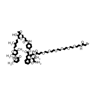 CC(/C=C/[C@H]1O[C@H](CC(=O)NC2CCC(OC(=O)CCc3ccccc3N(C(=O)[C@@H](NC(=O)CCOCCOCCOCCOCCOCCOCCNC(=O)CBr)C(C)C)[C@@H](C)C(N)=O)CC2)C[C@@]2(CO2)[C@@H]1O)=C\C[C@@H]1O[C@H](C)[C@H](NC(=O)/C=C\[C@H](C)O)C[C@@H]1C